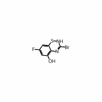 Oc1cc(F)cc2c1N=C(Br)NS2